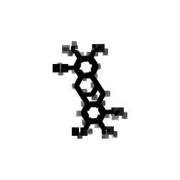 Cc1c(N)cc2c(c1N)CC1CC2Cc2c1cc(N)c(C)c2N